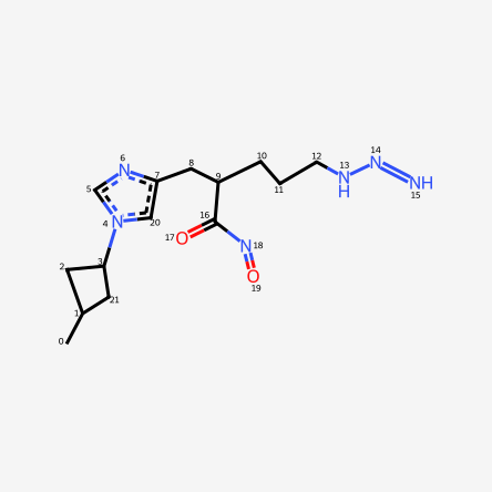 CC1CC(n2cnc(CC(CCCNN=N)C(=O)N=O)c2)C1